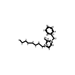 CCCCCCCC[n+]1ccn(Cc2ccccc2)c1C